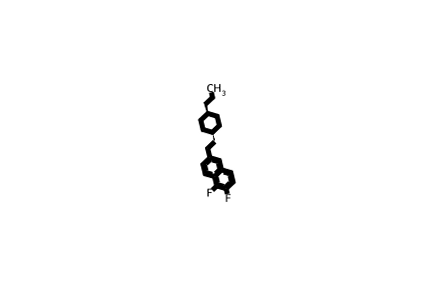 CCC[C@H]1CC[C@H](CCc2ccc3c(F)c(F)ccc3c2)CC1